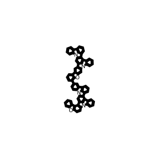 c1ccc2c(c1)oc1ccc3c(c4cc5c(c6cccc7c8cc(-c9cccc%10c9oc9cc%11c(cc9%10)c9cc%10c(c%12cccc%13c%14ccccc%14n%10c%13%12)c%10c%12ccccc%12n%11c9%10)ccc8n5c76)c5c6ccccc6n3c45)c12